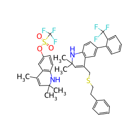 CC1(C)C=C(CSCCc2ccccc2)c2cc(-c3ccccc3C(F)(F)F)ccc2N1.CC1=CC(C)(C)Nc2ccc(OS(=O)(=O)C(F)(F)F)cc21